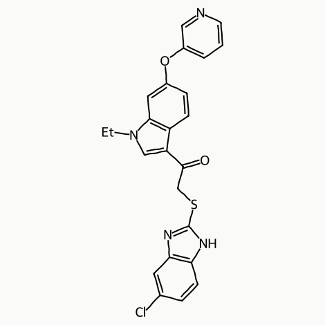 CCn1cc(C(=O)CSc2nc3cc(Cl)ccc3[nH]2)c2ccc(Oc3cccnc3)cc21